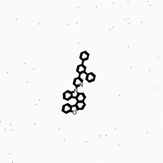 c1ccc(-c2ccc(-c3ccc(-n4c5ccccc5c5c6c(ccc7oc8ccccc8c76)ccc54)nc3)c(-c3ccccc3)c2)cc1